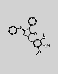 COc1cc(CC2SC(=Nc3ccccc3)N(c3ccccc3)C2=O)cc(OC)c1O